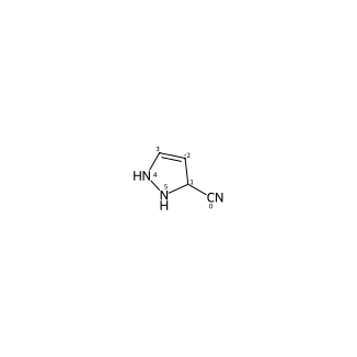 N#CC1[C]=CNN1